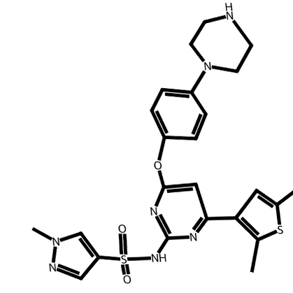 Cc1cc(-c2cc(Oc3ccc(N4CCNCC4)cc3)nc(NS(=O)(=O)c3cnn(C)c3)n2)c(C)s1